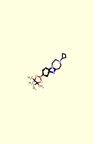 CC1(C)OB(c2ccc3c(c2)nc2n3CCN(C3CCC3)CC2)OC1(C)C